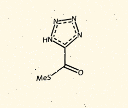 CSC(=O)c1nnn[nH]1